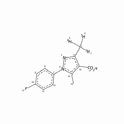 [2H]C([2H])([2H])c1nn(-c2ccc(F)cc2)c(C)c1C(=O)O